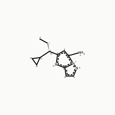 CC[C@H](c1cc(N)n2nccc2n1)C1CC1